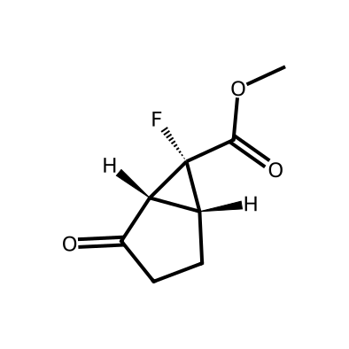 COC(=O)[C@@]1(F)[C@@H]2CCC(=O)[C@@H]21